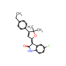 CCc1ccc(C2=C/C(=C3\C(=O)Nc4ccc(F)cc43)OC2(C)C)cc1